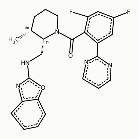 C[C@@H]1CCCN(C(=O)c2c(F)cc(F)cc2-c2ncccn2)[C@@H]1CNc1nc2ccccc2o1